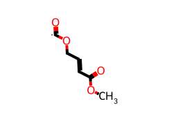 COC(=O)C=CCO[C]=O